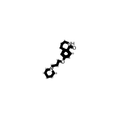 O=C1NCCCc2cc(OCCCN3CCCCC3)ccc21